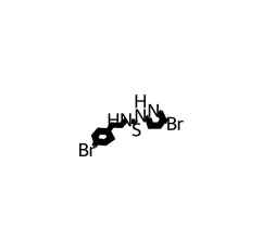 S=C(NCCc1ccc(Br)cc1)Nc1ccc(Br)cn1